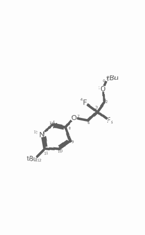 CC(C)(C)OCC(F)(F)COc1ccc(C(C)(C)C)nc1